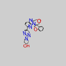 OC1CCN(c2ncc(-c3ccc4nc5n(c4n3)C3(COC5)COc4ccccc43)cn2)CC1